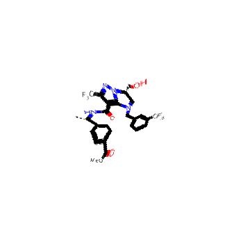 COC(=O)c1ccc([C@H](C)NC(=O)c2c(C(F)(F)F)nn3c2N(Cc2cccc(C(F)(F)F)c2)C[C@H]3CO)cc1